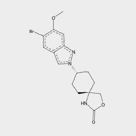 COc1cc2nn([C@H]3CC[C@@]4(CC3)COC(=O)N4)cc2cc1Br